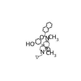 CO[C@]12CC[C@H](N(C)C(=O)c3ccc4ccccc4c3)C[C@]1(c1cccc(O)c1)CCN(CC1CC1)C2